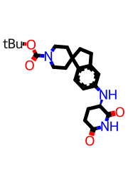 CC(C)(C)OC(=O)N1CCC2(CCc3cc(N[C@@H]4CCC(=O)NC4=O)ccc32)CC1